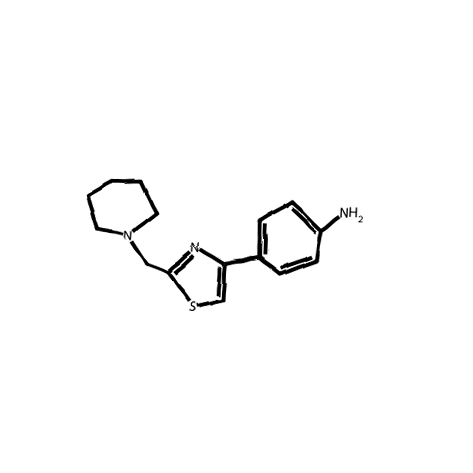 Nc1ccc(-c2csc(CN3CCCCC3)n2)cc1